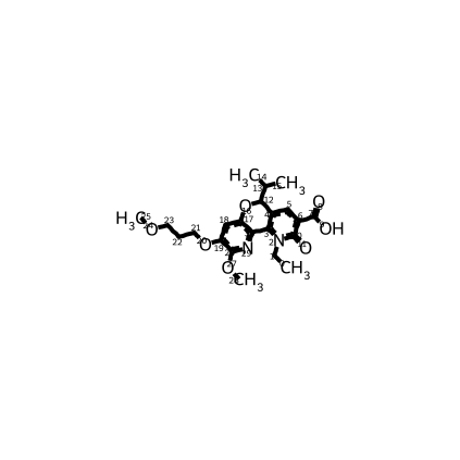 CCn1c2c(cc(C(=O)O)c1=O)C(C(C)C)Oc1cc(OCCCOC)c(OC)nc1-2